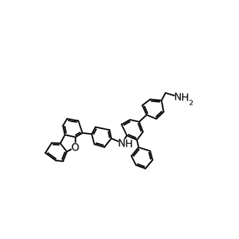 NCc1ccc(-c2ccc(Nc3ccc(-c4cccc5c4oc4ccccc45)cc3)c(-c3ccccc3)c2)cc1